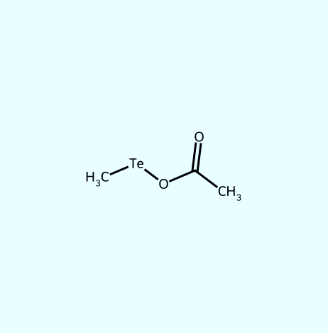 C[Te]OC(C)=O